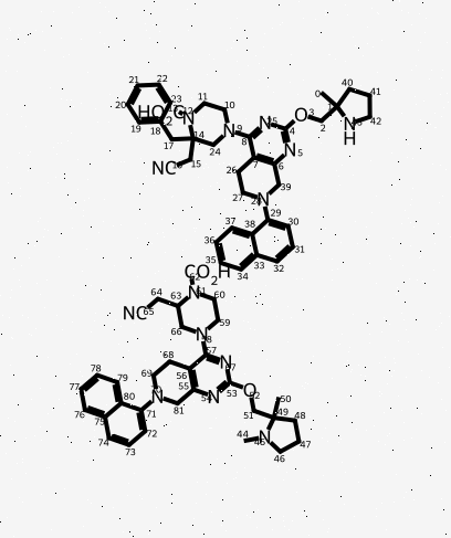 CC1(COc2nc3c(c(N4CCN(C(=O)O)C(CC#N)(Cc5ccccc5)C4)n2)CCN(c2cccc4ccccc24)C3)CCCN1.CN1CCCC1(C)COc1nc2c(c(N3CCN(C(=O)O)C(CC#N)C3)n1)CCN(c1cccc3ccccc13)C2